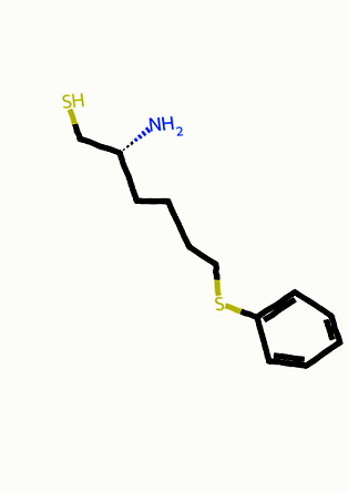 N[C@@H](CS)CCCCSc1ccccc1